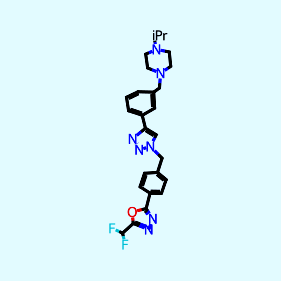 CC(C)N1CCN(Cc2cccc(-c3cn(Cc4ccc(-c5nnc(C(F)F)o5)cc4)nn3)c2)CC1